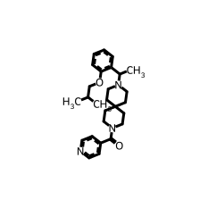 CC(C)COc1ccccc1C(C)N1CCC2(CCN(C(=O)c3ccncc3)CC2)CC1